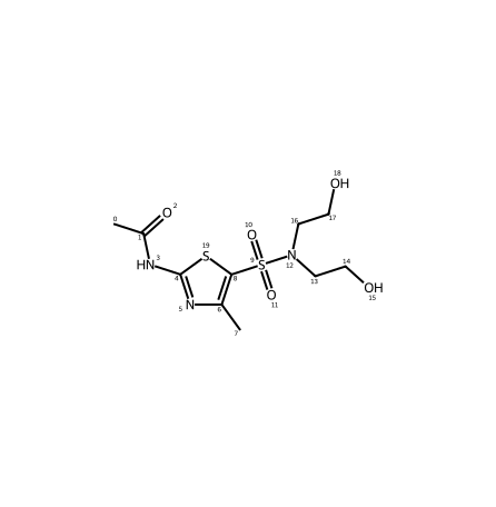 CC(=O)Nc1nc(C)c(S(=O)(=O)N(CCO)CCO)s1